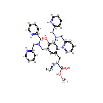 C=N[C@@H](Cc1cc(CN(Cc2ccccn2)Cc2ccccn2)c(O)c(N(Cc2ccccn2)Cc2ccccn2)c1)C(=O)OC